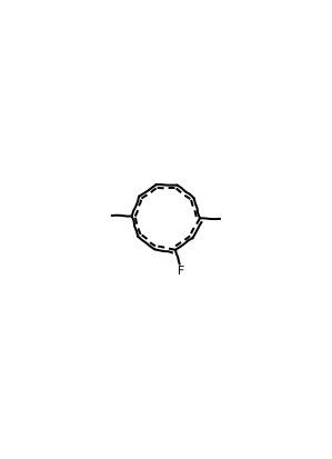 Cc1ccccc(C)cc(F)cc1